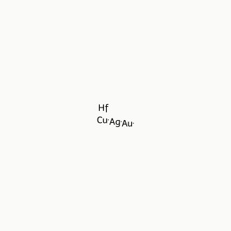 [Ag].[Au].[Cu].[Hf]